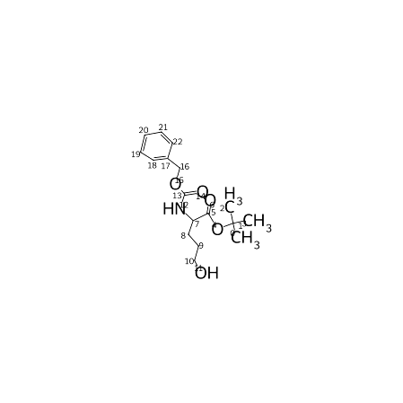 CC(C)(C)OC(=O)C(CCCO)NC(=O)OCc1ccccc1